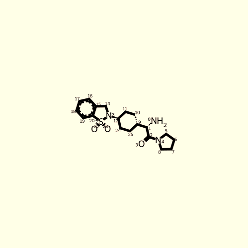 N[C@H](C(=O)N1CCCC1)[C@H]1CC[C@H](N2Cc3ccccc3S2(=O)=O)CC1